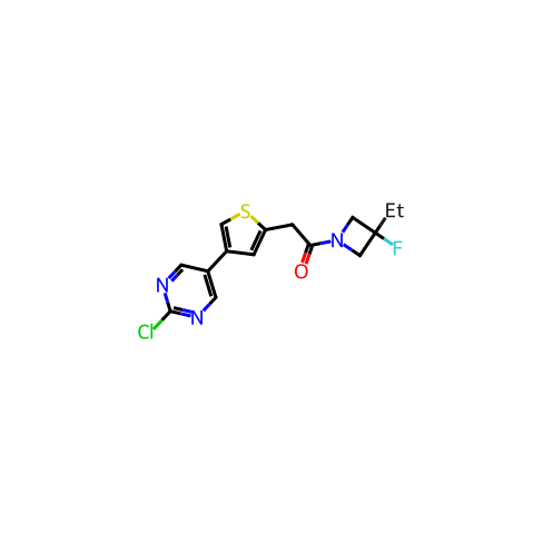 CCC1(F)CN(C(=O)Cc2cc(-c3cnc(Cl)nc3)cs2)C1